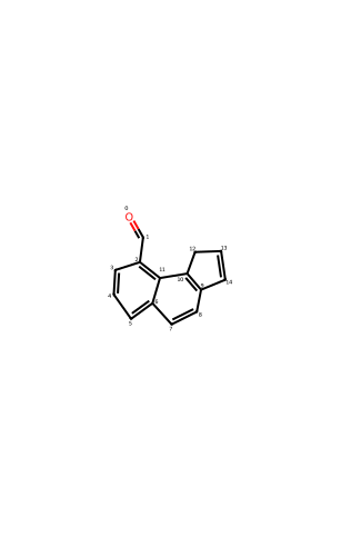 O=Cc1cccc2ccc3c(c12)CC=C3